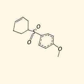 COc1ccc(S(=O)(=O)C2CC=CCC2)cc1